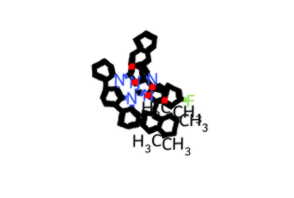 CC1CC(C)(C)c2cccc(-c3cccc(-c4cccc(-n5c6ccccc6c6ccc7c8ccccc8n(-c8nc(-c9ccc(F)cc9)nc(-c9ccc%10ccccc%10c9)n8)c7c65)c4)c3)c2C1(C)C